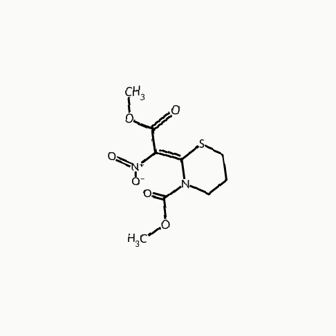 COC(=O)C(=C1SCCCN1C(=O)OC)[N+](=O)[O-]